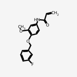 C=CC(=O)Nc1ccc(OCc2cccc(F)c2)c(OC)c1